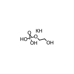 O=P(O)(O)OCCO.[KH]